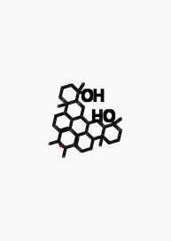 CC(C)C1=C2C3=C(C(C)C)CCC4C3C(CC3C(C)(O)CCCC43C)C3CC4C(C)(O)CCCC4(C)C(CC1)C23